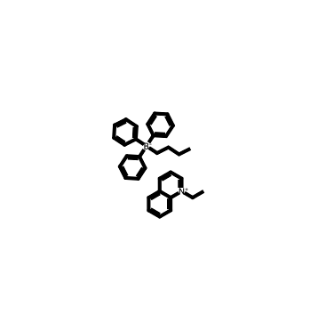 CCCC[B-](c1ccccc1)(c1ccccc1)c1ccccc1.CC[n+]1cccc2ccccc21